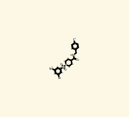 O=C(NCc1ccc(F)cc1)C1CCN(S(=O)(=O)c2cc(Br)cc(Br)c2)CC1